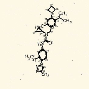 COc1cc(NC(=O)N(Cc2cc(C(C)C)c(N3CCC3)cc2C)C2CC2)ccc1-n1cc(C)nn1